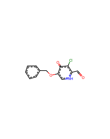 O=Cc1[nH]cc(OCc2ccccc2)c(=O)c1Cl